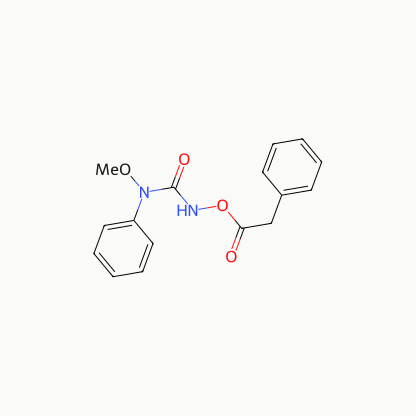 CON(C(=O)NOC(=O)Cc1ccccc1)c1ccccc1